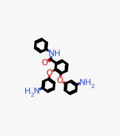 Nc1cccc(Oc2cccc(C(=O)Nc3ccccc3)c2Oc2cccc(N)c2)c1